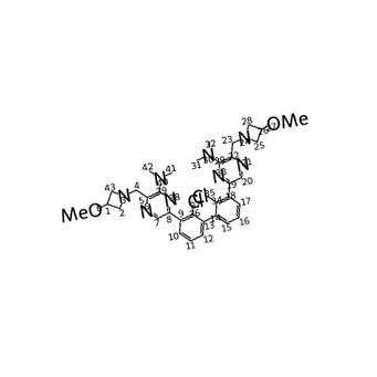 COC1CN(Cc2ncc(-c3cccc(-c4cccc(-c5cnc(CN6CC(OC)C6)c(N(C)C)n5)c4Cl)c3Cl)nc2N(C)C)C1